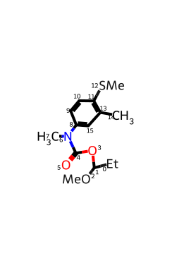 CCC(OC)OC(=O)N(C)c1ccc(SC)c(C)c1